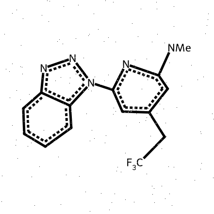 CNc1cc(CC(F)(F)F)cc(-n2nnc3ccccc32)n1